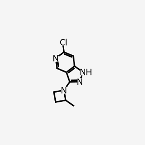 CC1CCN1c1n[nH]c2cc(Cl)ncc12